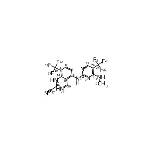 CNc1nc(Nc2ccc(C(F)(F)F)c(NCC#N)c2C=N)ncc1C(F)(F)F